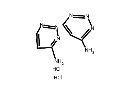 Cl.Cl.Nc1ccnnn1.Nc1ccnnn1